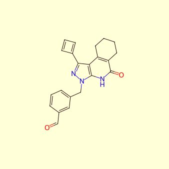 O=Cc1cccc(Cn2nc(C3=CC=C3)c3c4c(c(=O)[nH]c32)CCCC4)c1